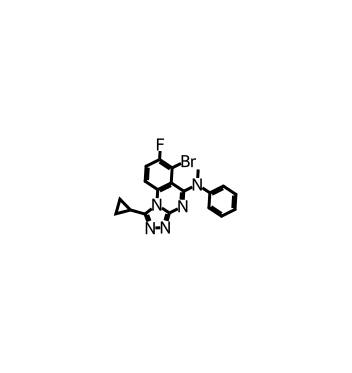 CN(c1ccccc1)c1nc2nnc(C3CC3)n2c2ccc(F)c(Br)c12